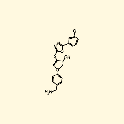 NCc1ccc(N2C=C(Sc3nnc(-c4cccc(Cl)c4)o3)C(O)C2)cc1